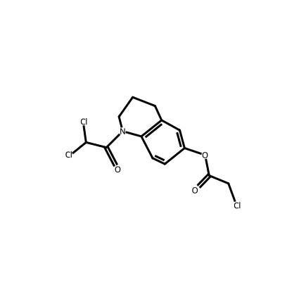 O=C(CCl)Oc1ccc2c(c1)CCCN2C(=O)C(Cl)Cl